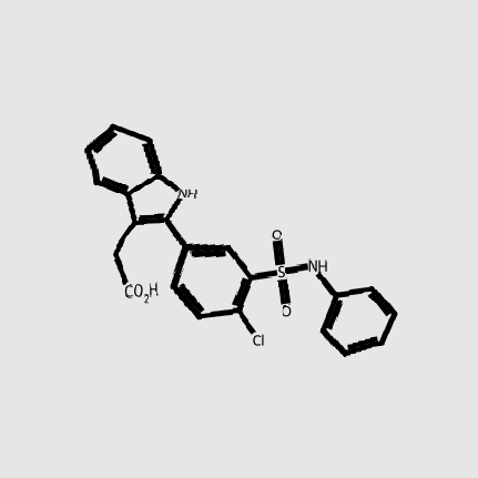 O=C(O)Cc1c(-c2ccc(Cl)c(S(=O)(=O)Nc3ccccc3)c2)[nH]c2ccccc12